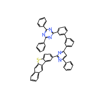 c1ccc(-c2cc(-c3cccc(-c4cccc(-c5nc(-c6ccccc6)nc(-c6ccccc6)n5)c4)c3)nc(-c3ccc4sc5cc6ccccc6cc5c4c3)n2)cc1